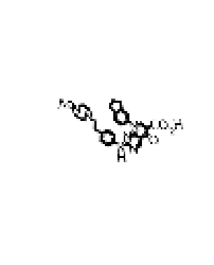 CC(=O)N1CCN(CCc2ccc(Nc3ncc4c(=O)c(C(=O)O)cn(-c5ccc6c(c5)CCC6)c4n3)cc2)CC1